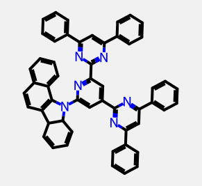 C1=CC2c3ccc4ccccc4c3N(c3cc(-c4nc(-c5ccccc5)cc(-c5ccccc5)n4)cc(-c4nc(-c5ccccc5)cc(-c5ccccc5)n4)n3)C2C=C1